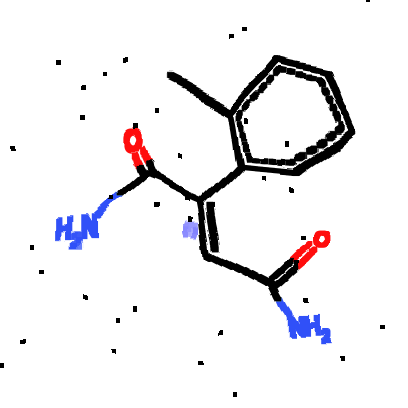 Cc1ccccc1/C(=C\C(N)=O)C(N)=O